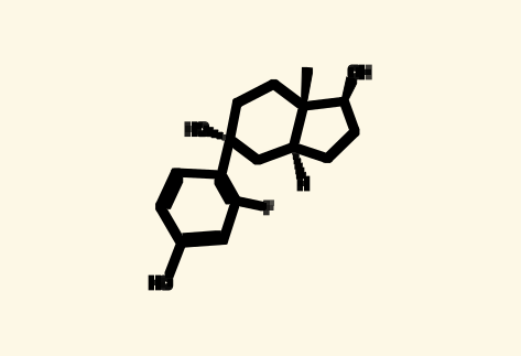 C[C@]12CC[C@](O)(c3ccc(O)cc3F)C[C@@H]1CC[C@@H]2O